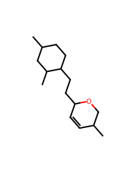 CC1C=CC(CCC2CCC(C)CC2C)OC1